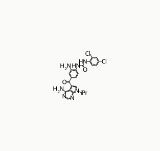 CC(C)n1cc(C(=O)c2ccc(NC(=O)Nc3ccc(Cl)cc3Cl)c(N)c2)c2c(N)ncnc21